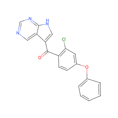 O=C(c1ccc(Oc2ccccc2)cc1Cl)c1c[nH]c2ncncc12